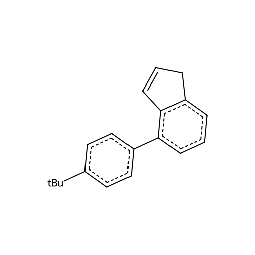 CC(C)(C)c1ccc(-c2cccc3c2C=CC3)cc1